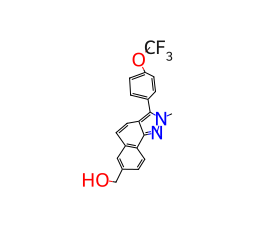 Cn1nc2c(ccc3cc(CO)ccc32)c1-c1ccc(OC(F)(F)F)cc1